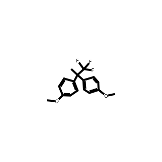 COc1ccc(C(C)(c2ccc(OC)cc2)C(F)(F)F)cc1